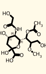 COC(CO)C(OC(C)=O)[C@@H]1OC(O)(C(=O)O)C[C@H](O)[C@H]1NC(=O)CO